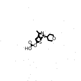 Cc1nn(C2CCOCC2)c2sc(OC(=O)O)cc12